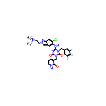 CN(C)CCn1cc2cc(Nc3nc(=O)n(Cc4ccc[nH]c4=O)c(=O)n3Cc3cc(F)c(F)c(F)c3)c(Cl)cc2n1